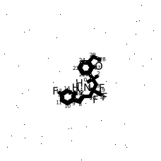 CC(C)(CC(N)(Cc1cc2ccc(F)cc2[nH]1)C(F)(F)F)c1cccc2c1OCC2